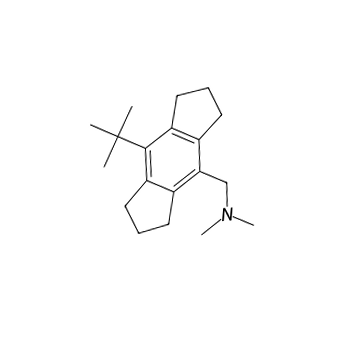 CN(C)Cc1c2c(c(C(C)(C)C)c3c1CCC3)CCC2